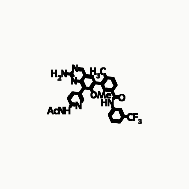 COc1c(-c2cc(C(=O)Nc3cccc(C(F)(F)F)c3)ccc2C)cc2cnc(N)nc2c1-c1ccc(NC(C)=O)nc1